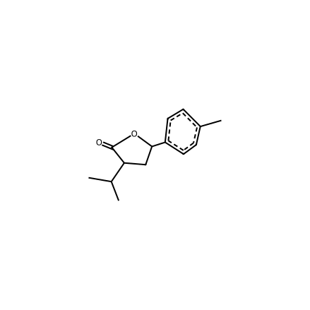 Cc1ccc(C2CC(C(C)C)C(=O)O2)cc1